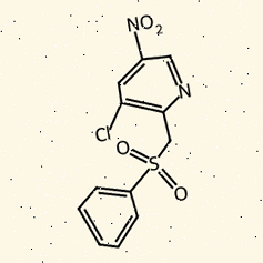 O=[N+]([O-])c1cnc(CS(=O)(=O)c2ccccc2)c(Cl)c1